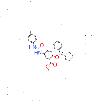 COC(=O)c1cc(NC(=O)Nc2ccc(C)cc2)ccc1OC(c1ccccc1)c1ccccc1